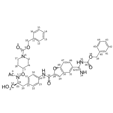 CC(=O)N(OC1CCN(C(=O)OCc2ccccc2)CC1)[C@@H](Cc1ccc(NC(=O)c2cc3cc(C(=N)NC(=O)OCc4ccccc4)ccc3o2)cc1)C(=O)O